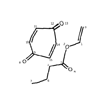 C=COC(=O)CCC.O=C1C=CC(=O)C=C1